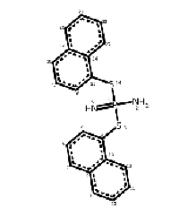 N=P(N)(Sc1cccc2ccccc12)Sc1cccc2ccccc12